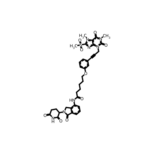 Cn1c(=O)c2c(nc(S(C)(=O)=O)n2C)n(CC#Cc2cccc(OCCCCCC(=O)Nc3cccc4c3CN(C3CCC(=O)NC3=O)C4=O)c2)c1=O